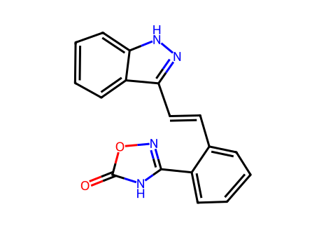 O=c1[nH]c(-c2ccccc2C=Cc2n[nH]c3ccccc23)no1